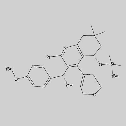 CC(C)c1nc2c(c(C3=CCOCC3)c1[C@H](O)c1ccc(OC(C)(C)C)cc1)[C@@H](O[Si](C)(C)C(C)(C)C)CC(C)(C)C2